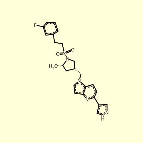 C[C@H]1C[C@@H](Cn2ccc3nc(-c4cn[nH]c4)ccc32)CN1S(=O)(=O)CCc1cccc(F)c1